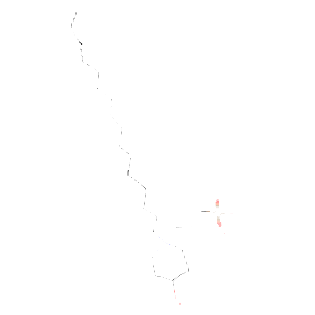 CCCCCCCCCCCCCCCC[N+]1(CCCS(=O)(=O)[O-])CCC(O)CC1